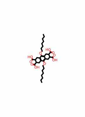 CCCCCCCCOc1c2c(c(OCCCCCCCC)c3c1CC(C(=O)O)C(C(=O)O)C3)CC(C(=O)O)C(C(=O)O)C2